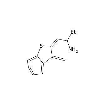 C=c1/c(=C\C(N)CC)sc2ccccc12